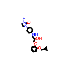 O=C1NCCN1[C@H]1CC[C@@H](NCC(O)COc2ccccc2OCC2CC2)CC1